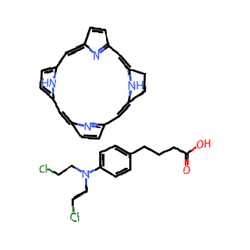 C1=Cc2cc3ccc(cc4nc(cc5[nH]c(cc1n2)CC5)C=C4)[nH]3.O=C(O)CCCc1ccc(N(CCCl)CCCl)cc1